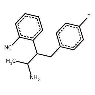 CC(N)C(Cc1ccc(F)cc1)c1ccccc1C#N